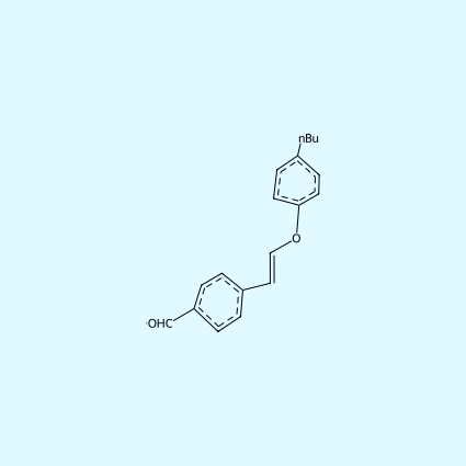 CCCCc1ccc(OC=Cc2ccc([C]=O)cc2)cc1